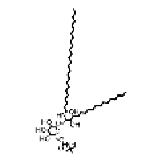 CCCCCCCCCCCCCCCCCCCCCCCCCCN[C@@H](CO[C@H]1O[C@H](COC(=O)NC(C)(C)C)[C@H](O)[C@H](O)[C@H]1O)[C@H](O)[C@H](O)CCCCCCCCCCCCCC